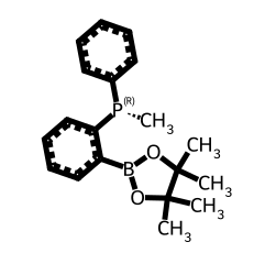 C[P@@](c1ccccc1)c1ccccc1B1OC(C)(C)C(C)(C)O1